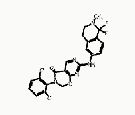 CN1CCc2cc(Nc3ncc4c(n3)OCN(c3c(Cl)cccc3Cl)C4=O)ccc2C1(F)F